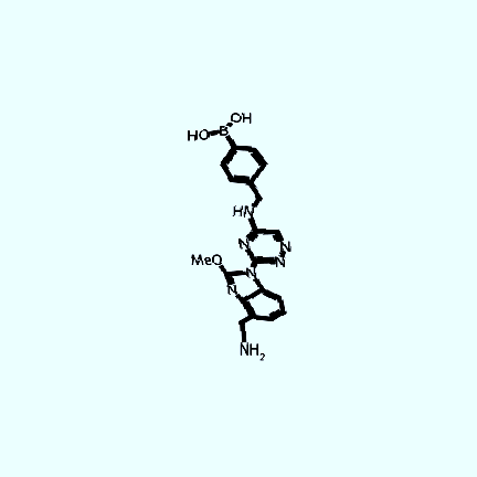 COc1nc2c(CN)cccc2n1-c1nncc(NCc2ccc(B(O)O)cc2)n1